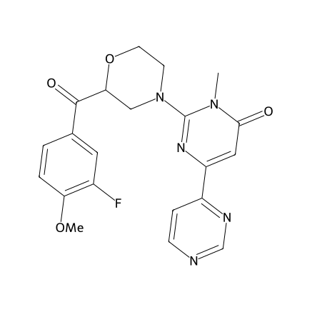 COc1ccc(C(=O)C2CN(c3nc(-c4ccncn4)cc(=O)n3C)CCO2)cc1F